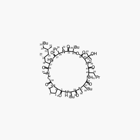 CCC(C)C1NC(=O)C2CCCN2C(=O)CN(C)C(=O)C(C[C@H](C)C[C@H](C)C[C@H](C)CC)NC(=O)C(C(C)C)N(C)C(=O)C(C(C)CC)OC(=O)C(C(C)(C)O)N(C)C(=O)C(CC(C)C)NC(=O)C(C(C)CC)N(C)C1=O